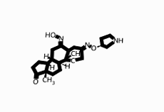 C[C@]12CC/C(=N\O[C@@H]3CCNC3)CC1/C(=N/O)C[C@@H]1[C@@H]2CC[C@]2(C)C(=O)CC[C@@H]12